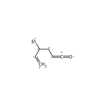 C=CC(CC)CC=C=O